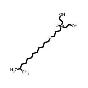 CC(C)CCCCCCCCCCOCCC[N+]([O-])(CCO)CCO